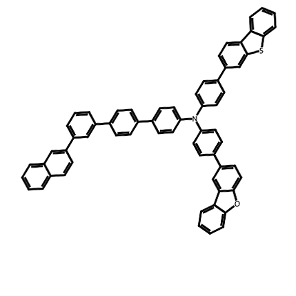 c1cc(-c2ccc(-c3ccc(N(c4ccc(-c5ccc6c(c5)sc5ccccc56)cc4)c4ccc(-c5ccc6oc7ccccc7c6c5)cc4)cc3)cc2)cc(-c2ccc3ccccc3c2)c1